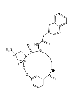 N[C@H]1C[C@H]2COc3cccc(c3)C(=O)NCCC[C@H](NC(=O)Cc3ccc4ccccc4c3)C(=O)N2C1